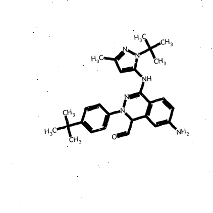 Cc1cc(NC2=NN(c3ccc(C(C)(C)C)cc3)C(C=O)c3cc(N)ccc32)n(C(C)(C)C)n1